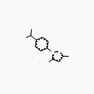 COc1cc(C(F)(F)F)nn1-c1ccc(C(C)N)cc1